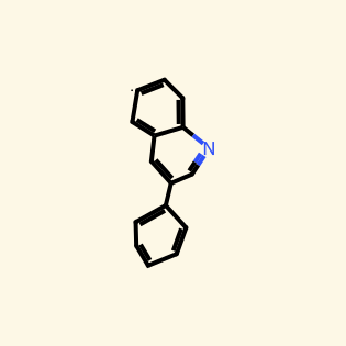 [c]1ccc2ncc(-c3ccccc3)cc2c1